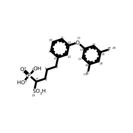 O=P(O)(O)C(CCCc1cccc(Oc2cc(F)cc(F)c2)c1)S(=O)(=O)O